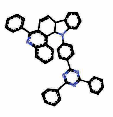 C1=CC2c3ccccc3N(c3ccc(-c4nc(-c5ccccc5)nc(-c5ccccc5)n4)cc3)C2c2c1c(-c1ccccc1)nc1ccccc21